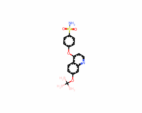 BC(B)(B)Oc1ccc2c(Oc3ccc(S(N)(=O)=O)cc3)ccnc2c1